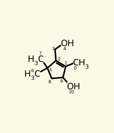 CC1=C(CO)C(C)(C)CC1O